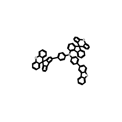 c1ccc2c(c1)Oc1ccccc1C21c2ccccc2-c2cc(-c3ccc(N(c4ccc(-c5ccc6sc7ccccc7c6c5)cc4)c4cccc5c4-c4ccccc4C54c5ccccc5Oc5ccccc54)cc3)ccc21